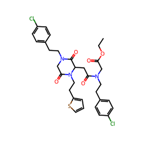 CCOC(=O)CN(CCc1ccc(Cl)cc1)C(=O)CC1C(=O)N(CCc2ccc(Cl)cc2)CC(=O)N1CCc1cccs1